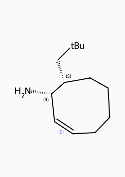 CC(C)(C)C[C@@H]1CCCC/C=C\[C@@H]1N